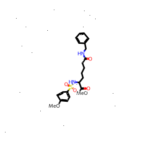 COC(=O)C(CCCCC(=O)NCc1ccccc1)NS(=O)(=O)c1ccc(OC)cc1